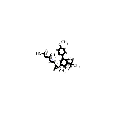 COc1ccc(-c2cc([C@@]3(C)C[C@H]3/C=C/C(C)=C/C(=O)O)cc3c2OCC3(C)C)cc1